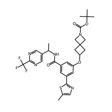 Cc1cnc(-c2cc(OC3CC4(C3)CN(C(=O)OC(C)(C)C)C4)cc(C(=O)NC(C)c3cnc(C(F)(F)F)nc3)c2)s1